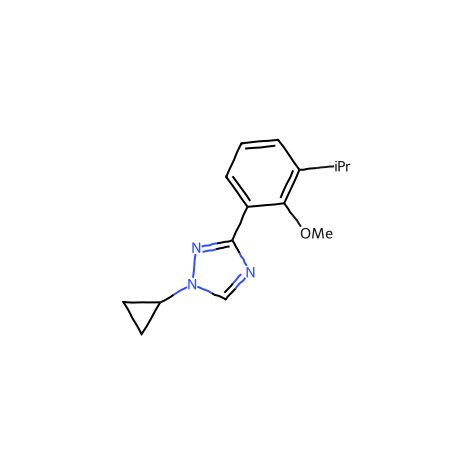 COc1c(-c2ncn(C3CC3)n2)cccc1C(C)C